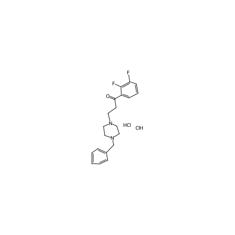 Cl.Cl.O=C(CCN1CCN(Cc2ccccc2)CC1)c1cccc(F)c1F